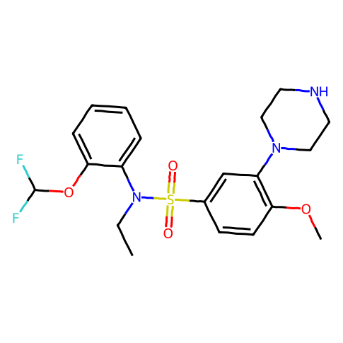 CCN(c1ccccc1OC(F)F)S(=O)(=O)c1ccc(OC)c(N2CCNCC2)c1